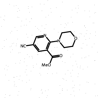 COC(=O)c1cc(C#N)cnc1N1CCOCC1